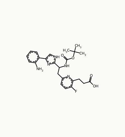 CC(C)(C)OC(=O)NC(Cc1ccc(F)c(CCC(=O)O)n1)c1nc(-c2ccccc2N)c[nH]1